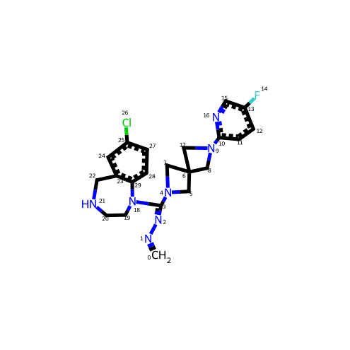 C=N/N=C(/N1CC2(C1)CN(c1ccc(F)cn1)C2)N1CCNCc2cc(Cl)ccc21